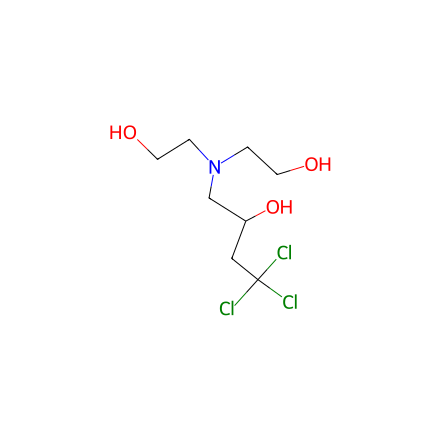 OCCN(CCO)CC(O)CC(Cl)(Cl)Cl